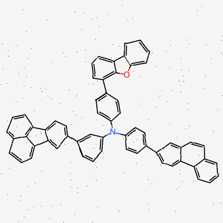 c1cc(-c2ccc3c(c2)-c2cccc4cccc-3c24)cc(N(c2ccc(-c3ccc4c(ccc5ccccc54)c3)cc2)c2ccc(-c3cccc4c3oc3ccccc34)cc2)c1